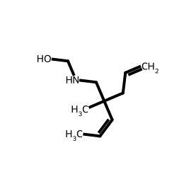 C=CCC(C)(/C=C\C)CNCO